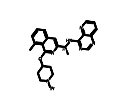 Cc1cccc2cc([C@H](C)Nc3ncnc4cccnc34)nc(OC3CCN(C(C)C)CC3)c12